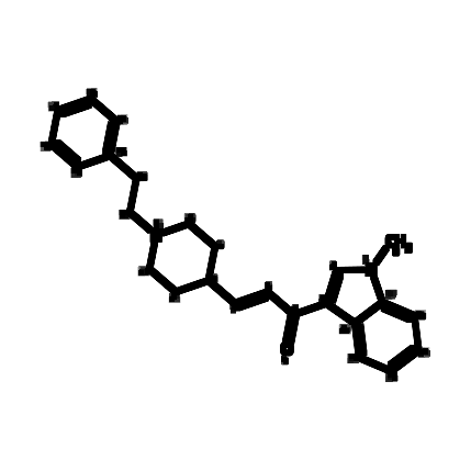 Cn1cc(C(=O)C=CC2CCN(CCc3ccccc3)CC2)c2ccccc21